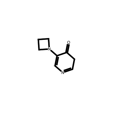 O=C1CC=N[C]=C1N1CCC1